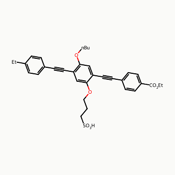 CCCCOc1cc(C#Cc2ccc(C(=O)OCC)cc2)c(OCCCS(=O)(=O)O)cc1C#Cc1ccc(CC)cc1